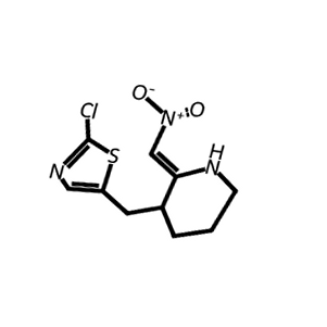 O=[N+]([O-])C=C1NCCCC1Cc1cnc(Cl)s1